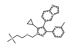 Cc1cccc(-c2nn(COCC[Si](C)(C)C)c(C3CC3)c2-c2ccc3nccn3c2)n1